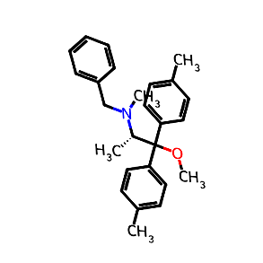 COC(c1ccc(C)cc1)(c1ccc(C)cc1)[C@H](C)N(C)Cc1ccccc1